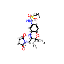 CC1(C)Oc2ccc(NS(C)(=O)=O)cc2N=C1CN1C(=O)CCC1=O